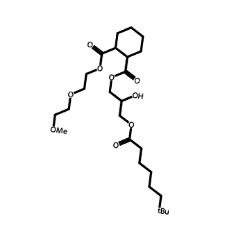 COCCOCCOC(=O)C1CCCCC1C(=O)OCC(O)COC(=O)CCCCCC(C)(C)C